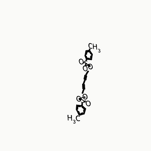 Cc1ccc(S(=O)(=O)OCC#CC#CCOS(=O)(=O)c2ccc(C)cc2)cc1